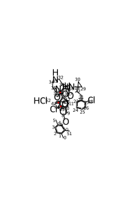 Cc1ccc(C)c(OCCc2ccc(C3=C(C(=O)NC4(CCc5ccccc5Cl)CC4)[C@H]4CNCC(C3)N4C(=O)OC(C)(C)C(Cl)(Cl)Cl)cc2)c1C.Cl